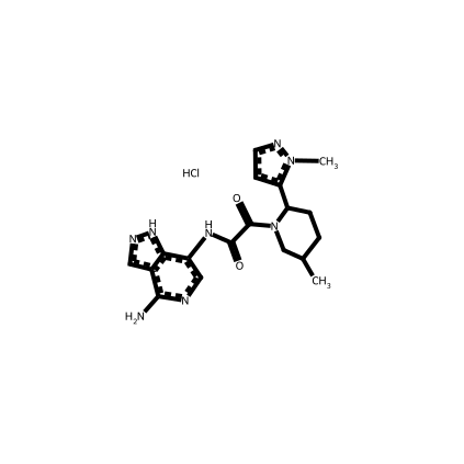 CC1CCC(c2ccnn2C)N(C(=O)C(=O)Nc2cnc(N)c3cn[nH]c23)C1.Cl